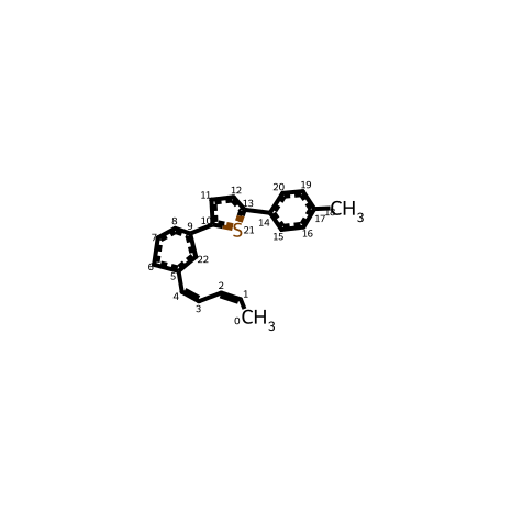 C/C=C\C=C/c1cccc(-c2ccc(-c3ccc(C)cc3)s2)c1